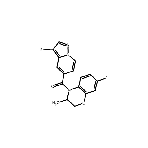 CC1COc2cc(F)ccc2N1C(=O)c1ccn2ncc(Br)c2c1